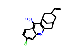 C=CC1CC2Cc3nc4cc(Cl)ccc4c(N)c3C(C1)C2